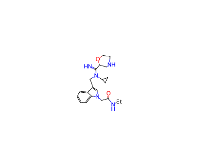 CCNC(=O)Cn1cc(CN(C(=N)C2CNCCO2)C2CC2)c2ccccc21